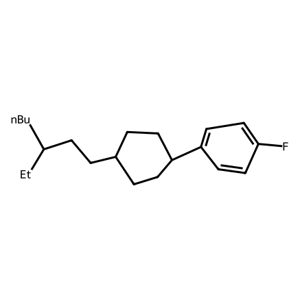 CCCCC(CC)CCC1CCC(c2ccc(F)cc2)CC1